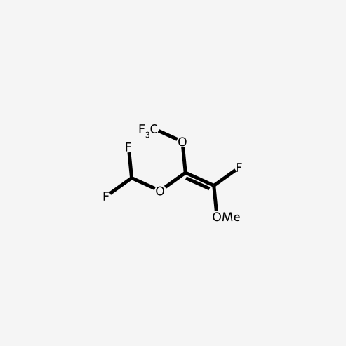 CO/C(F)=C(\OC(F)F)OC(F)(F)F